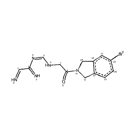 N=CC(=N)/N=C\NCC(=O)N1Cc2ccc(Br)cc2C1